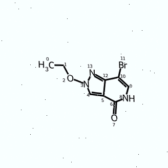 CCOn1cc2c(=O)[nH]cc(Br)c2n1